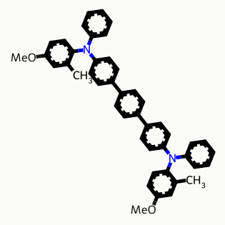 COc1ccc(N(c2ccccc2)c2ccc(-c3ccc(-c4ccc(N(c5ccccc5)c5ccc(OC)cc5C)cc4)cc3)cc2)c(C)c1